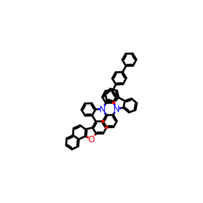 c1ccc(-c2ccc(-c3ccc(N(c4ccccc4-c4cccc5oc6c7ccccc7ccc6c45)c4ccccc4-n4c5ccccc5c5ccccc54)cc3)cc2)cc1